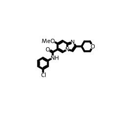 COc1cc2nc(C3CCOCC3)cn2cc1C(=O)Nc1cccc(Cl)c1